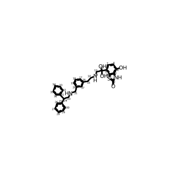 O=c1[nH]c2c(O)ccc(C(O)(O)CNCCc3cccc(CNCC(c4ccccc4)c4ccccc4)c3)c2s1